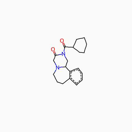 O=C1CN2CCCc3ccccc3C2CN1C(=O)C1CCCCC1